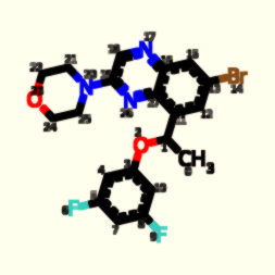 CC(Oc1cc(F)cc(F)c1)c1cc(Br)cc2ncc(N3CCOCC3)nc12